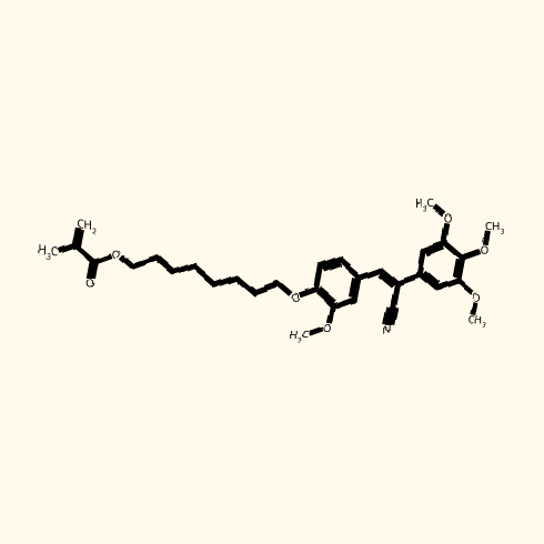 C=C(C)C(=O)OCCCCCCCCOc1ccc(C=C(C#N)c2cc(OC)c(OC)c(OC)c2)cc1OC